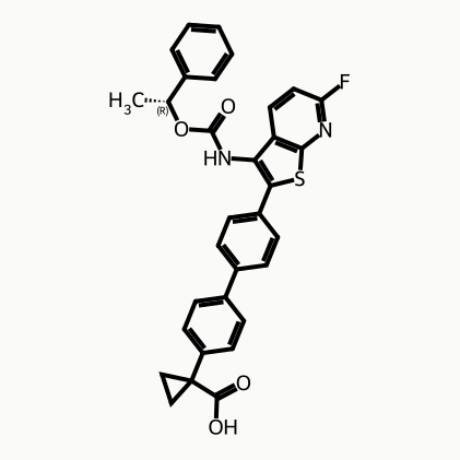 C[C@@H](OC(=O)Nc1c(-c2ccc(-c3ccc(C4(C(=O)O)CC4)cc3)cc2)sc2nc(F)ccc12)c1ccccc1